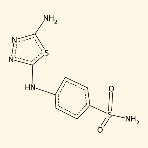 Nc1nnc(Nc2ccc(S(N)(=O)=O)cc2)s1